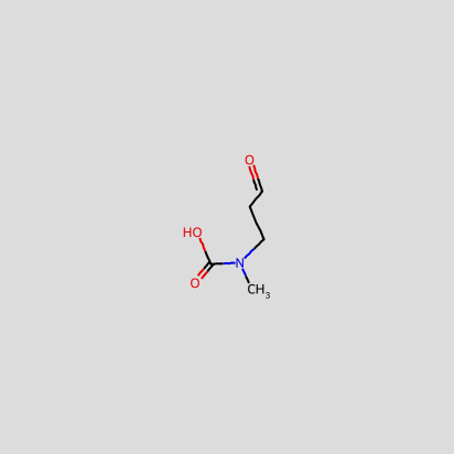 CN(CCC=O)C(=O)O